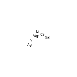 [Ag].[Ca].[Ga].[Li].[Mg].[V]